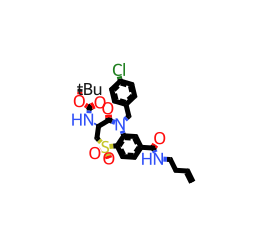 C=CCCNC(=O)c1ccc2c(c1)N(Cc1ccc(Cl)cc1)C(=O)[C@@H](NC(=O)OC(C)(C)C)CS2(=O)=O